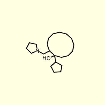 OC1(C2CCCC2)CCCCCCCCCCC1CN1CCCC1